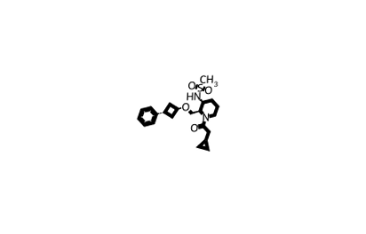 CS(=O)(=O)N[C@H]1CCCN(C(=O)CC2CC2)[C@H]1CO[C@H]1C[C@@H](c2ccccc2)C1